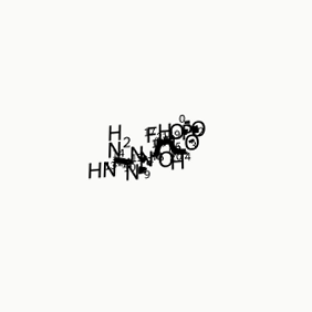 CP1(=O)OC[C@H]2O[C@@H](n3cnc(C(=N)N)n3)[C@H](F)[C@@H]2O1